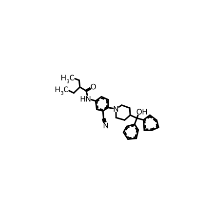 CCC(CC)C(=O)Nc1ccc(N2CCC(C(O)(c3ccccc3)c3ccccc3)CC2)c(C#N)c1